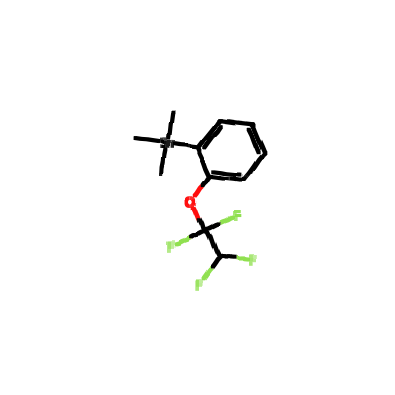 [CH3][Sn]([CH3])([CH3])[c]1ccccc1OC(F)(F)C(F)F